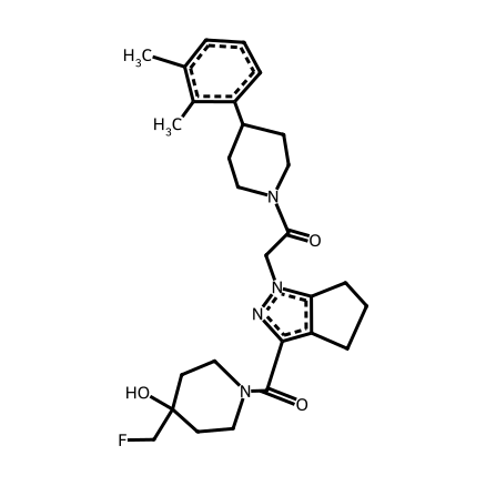 Cc1cccc(C2CCN(C(=O)Cn3nc(C(=O)N4CCC(O)(CF)CC4)c4c3CCC4)CC2)c1C